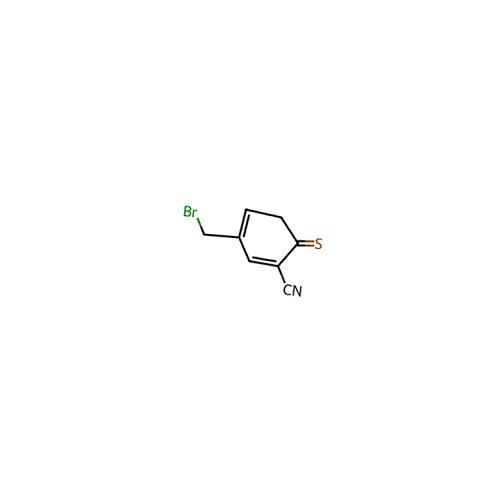 N#CC1=CC(CBr)=CCC1=S